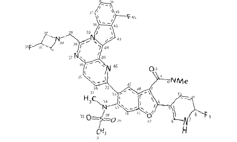 CNC(=O)c1c(C2=CNC(F)C=C2)oc2cc(N(C)S(C)(=O)=O)c(-c3ccc4nc(CN5CC(F)C5)n5c6cccc(F)c6cc5c4n3)cc12